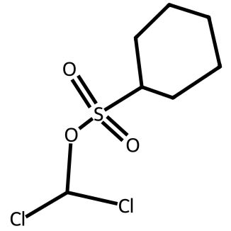 O=S(=O)(OC(Cl)Cl)C1CCCCC1